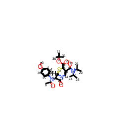 COc1ccc(N(C(C)=O)C2C(=O)N3C=C(C(=O)N(C(C)C)C(C)C)C(C(=O)OC(C)(C)C)S[C@H]23)cc1